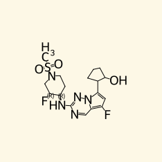 CS(=O)(=O)N1CC[C@@H](Nc2ncc3c(F)cc(C4CCCC4O)n3n2)[C@H](F)C1